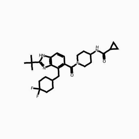 CC(C)(C)c1nc2c(CC3CCC(F)(F)CC3)c(C(=O)N3CCC(NC(=O)C4CC4)CC3)ccc2[nH]1